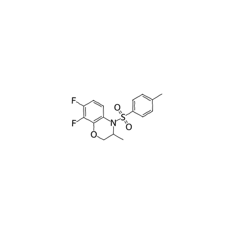 Cc1ccc(S(=O)(=O)N2c3ccc(F)c(F)c3OCC2C)cc1